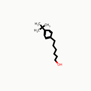 CC(C)(C)c1ccc(CCCCCCO)cc1